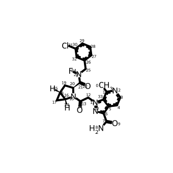 Cc1nccc2c(C(N)=O)nn(CC(=O)N3[C@@H]4C[C@@H]4C[C@H]3C(=O)N(F)Cc3cccc(Cl)c3)c12